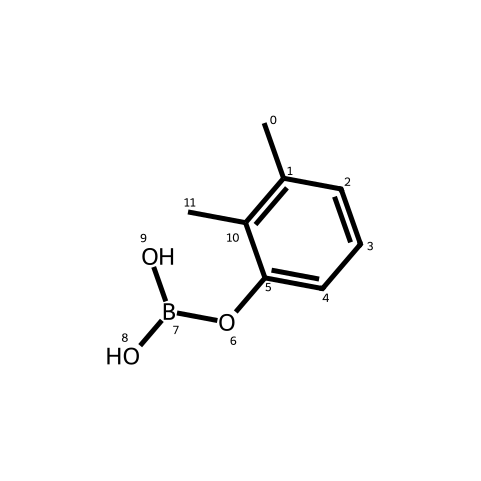 Cc1cccc(OB(O)O)c1C